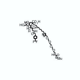 CC(C)(C)OC(=O)NCCOCCOCCOCCOCc1cn(CCCCCCCCO[C@]2(C(=O)O)C[C@H](O)[C@@H](NC(=O)CO)[C@H]([C@H](O)[C@H](O)CNC(=O)Cc3ccc(C(F)F)cc3)O2)nn1